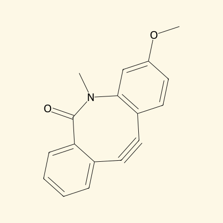 COc1ccc2c(c1)N(C)C(=O)c1ccccc1C#C2